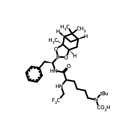 CC1(C)[C@@H]2C[C@H]3OB([C@H](Cc4ccccc4)NC(=O)C(CCCCN(C(=O)O)C(C)(C)C)NCC(F)(F)F)O[C@@]3(C)[C@H]1C2